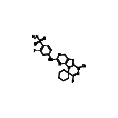 CCN1N=C(F)C2(CCCCC2)n2c1cc1cnc(Nc3ccc(S(N)(=O)=O)c(F)c3)nc12